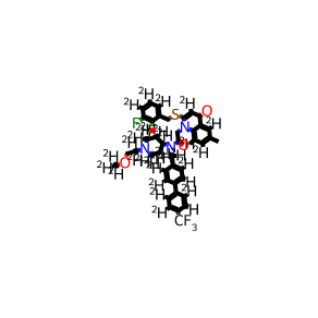 [2H]c1c([2H])c(F)c(F)c(CSc2c([2H])c(=O)c3c([2H])c(C)c([2H])c([2H])c3n2CC(=O)N(C([2H])([2H])c2c([2H])c([2H])c(-c3c([2H])c([2H])c(C(F)(F)F)c([2H])c3[2H])c([2H])c2[2H])C2([2H])C([2H])([2H])C([2H])([2H])N(C([2H])([2H])COC([2H])([2H])[2H])C([2H])([2H])C2([2H])[2H])c1[2H]